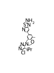 Cc1cc(-c2cnc3sc(N)nc3c2)cc2c1OCCN(c1ncnc(Cl)c1C(C)C)C2